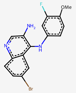 COc1ccc(Nc2c(N)cnc3ccc(Br)cc23)cc1F